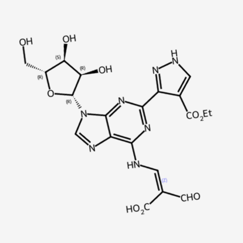 CCOC(=O)c1c[nH]nc1-c1nc(N/C=C(/C=O)C(=O)O)c2ncn([C@@H]3O[C@H](CO)[C@@H](O)[C@H]3O)c2n1